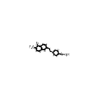 CCCCCCCc1ccc(CCc2ccc3c(F)c(C(F)(F)F)ccc3c2)cc1